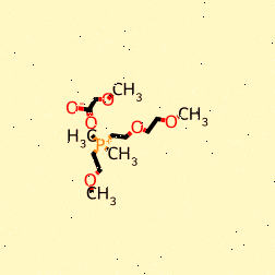 COCC(=O)[O-].COCCOCC[P+](C)(C)CCOC